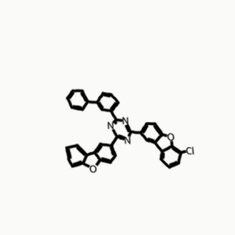 Clc1cccc2c1oc1ccc(-c3nc(-c4cccc(-c5ccccc5)c4)nc(-c4ccc5oc6ccccc6c5c4)n3)cc12